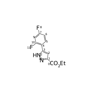 CCOC(=O)c1cc(-c2ccc(F)cc2F)[nH]n1